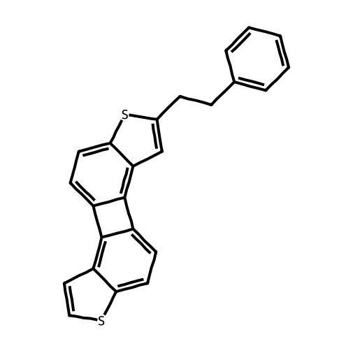 c1ccc(CCc2cc3c4c(ccc3s2)-c2c-4ccc3sccc23)cc1